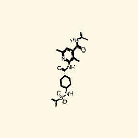 Cc1cc(C(=O)NC(C)C)c(C)c(NC(=O)[C@H]2CC[C@H](NS(=O)(=O)C(C)C)CC2)n1